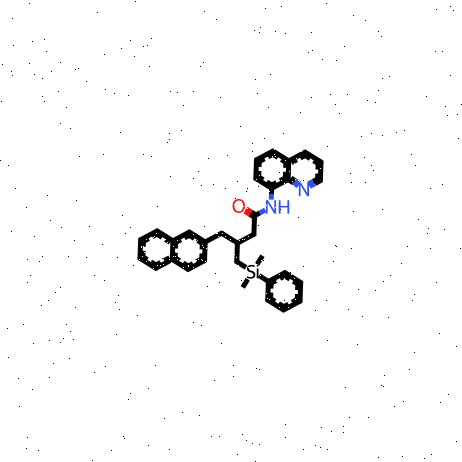 C[Si](C)(CC(CC(=O)Nc1cccc2cccnc12)Cc1ccc2ccccc2c1)c1ccccc1